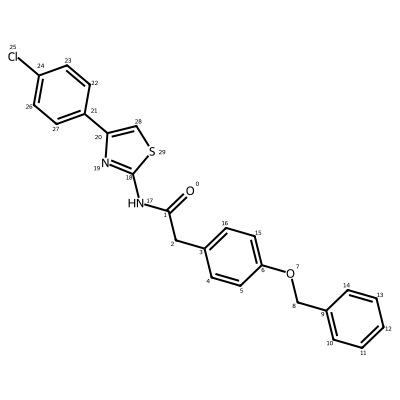 O=C(Cc1ccc(OCc2ccccc2)cc1)Nc1nc(-c2ccc(Cl)cc2)cs1